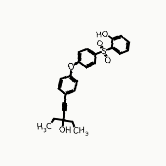 CCC(O)(C#Cc1ccc(Oc2ccc(S(=O)(=O)c3ccccc3O)cc2)cc1)CC